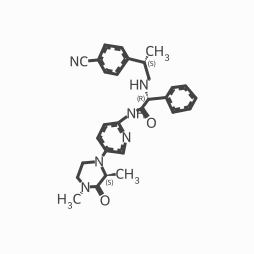 C[C@H](CN[C@@H](C(=O)Nc1ccc(N2CCN(C)C(=O)[C@@H]2C)cn1)c1ccccc1)c1ccc(C#N)cc1